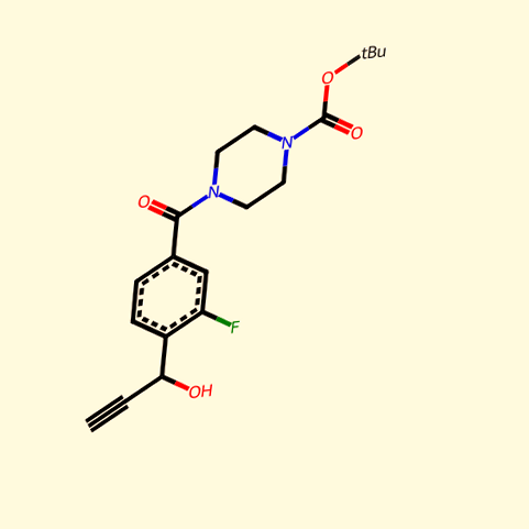 C#CC(O)c1ccc(C(=O)N2CCN(C(=O)OC(C)(C)C)CC2)cc1F